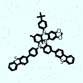 CC1=CC2N(c3ccc(-c4ccc5c(c4)sc4ccccc45)cc3)c3ccc(-c4ccc5c(c4)sc4ccccc45)cc3B3c4cc5c(cc4N(c4ccc(C(C)(C)C)cc4)C(=C1)C32C)OCO5